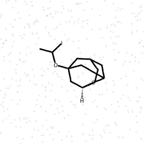 CC(I)OC12CC3CC[C@H](CC(C3)C1)C2